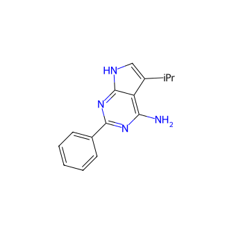 CC(C)c1c[nH]c2nc(-c3ccccc3)nc(N)c12